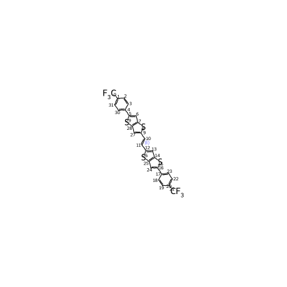 FC(F)(F)c1ccc(-c2cc3sc(/C=C/c4cc5sc(-c6ccc(C(F)(F)F)cc6)cc5s4)cc3s2)cc1